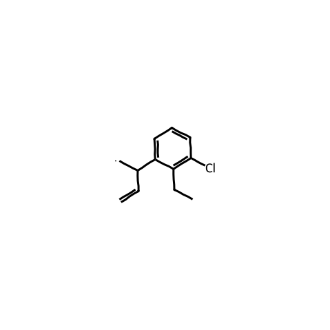 [CH2]C(C=C)c1cccc(Cl)c1CC